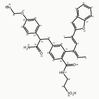 C/C=C(\C=C(/C)c1cc2ccccc2o1)c1cc(CC(C(N)=O)c2ccc(OCC(C)(C)C)cc2)ccc1C(=O)NCCS(=O)(=O)O